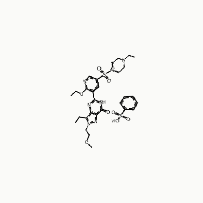 CCOc1ncc(S(=O)(=O)N2CCN(CC)CC2)cc1-c1nc2c(CC)n(CCOC)nc2c(=O)[nH]1.O=S(=O)(O)c1ccccc1